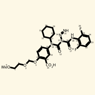 COCCOCOc1ccc(N(C(=O)N(N=N)C(=O)Nc2c(F)cccc2F)C2CCCCC2)cc1C(=O)O